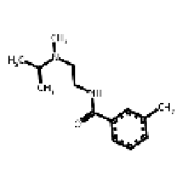 Cc1cccc(C(=O)NCCN(C)C(C)C)c1